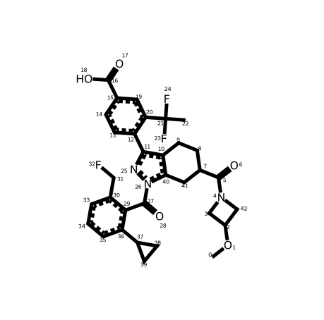 COC1CN(C(=O)C2CCc3c(-c4ccc(C(=O)O)cc4C(C)(F)F)nn(C(=O)c4c(CF)cccc4C4CC4)c3C2)C1